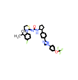 CC(C)c1cc(F)ccc1N1CCCS/C1=N\C(=O)NC1CCCC1c1ccc(-c2ncn(-c3ccc(OC(F)(F)F)cc3)n2)cc1